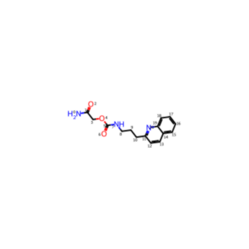 NC(=O)COC(=O)NCCCc1ccc2ccccc2n1